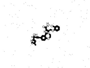 Cc1cc([C@](C)(O)C#Cc2ccc3c(c2)-c2nc(C(N)=O)c(COc4ccccc4Cl)n2CCO3)no1